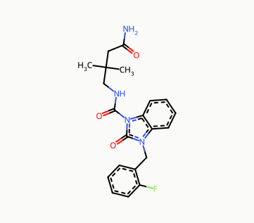 CC(C)(CNC(=O)n1c(=O)n(Cc2ccccc2F)c2ccccc21)CC(N)=O